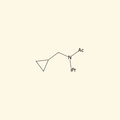 CC(=O)N(CC1CC1)C(C)C